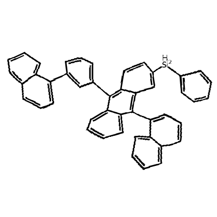 c1ccc([SiH2]c2ccc3c(-c4cccc(-c5cccc6ccccc56)c4)c4ccccc4c(-c4cccc5ccccc45)c3c2)cc1